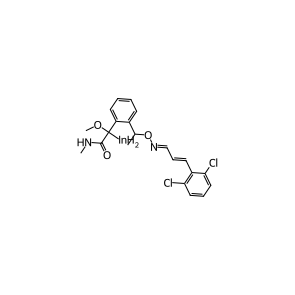 CNC(=O)[C]([InH2])(OC)c1ccccc1C(C)ON=CC=Cc1c(Cl)cccc1Cl